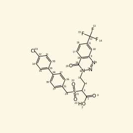 O=C(O)C(CCn1nnc2cc(C(F)(F)F)ccc2c1=O)S(=O)(=O)Cc1ccc(-c2ccc(Cl)cc2)cc1